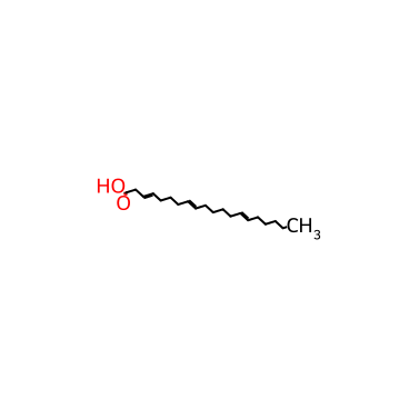 CCCCC/C=C/CCCC/C=C/CCC/C=C/CC(=O)O